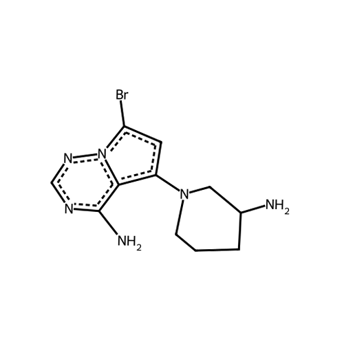 Nc1ncnn2c(Br)cc(N3CCCC(N)C3)c12